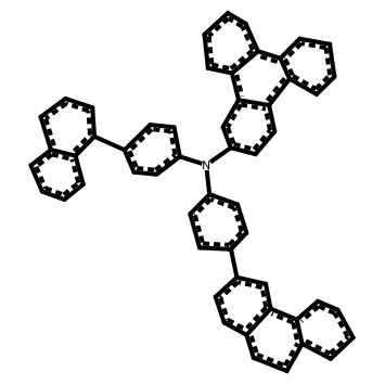 c1ccc2c(-c3ccc(N(c4ccc(-c5ccc6ccc7ccccc7c6c5)cc4)c4ccc5c6ccccc6c6ccccc6c5c4)cc3)cccc2c1